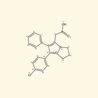 O=C(O)Cc1c(-c2ccccc2)c(-c2ccc(Cl)cc2)c2n1CCC2